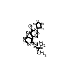 C=C(C)CNc1ncnc2sc3c(=O)n(C4CCCC4)cnc3c12